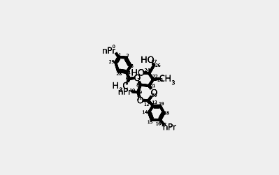 CCCc1ccc(C(C)OC2C(CCC)OC(c3ccc(CCC)cc3)OC2C(C)C(O)CO)cc1